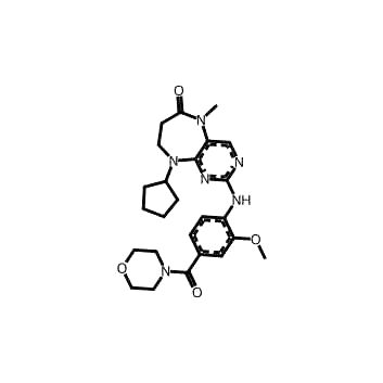 COc1cc(C(=O)N2CCOCC2)ccc1Nc1ncc2c(n1)N(C1CCCC1)CCC(=O)N2C